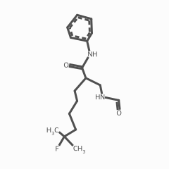 CC(C)(F)CCCCC(CNC=O)C(=O)Nc1ccccc1